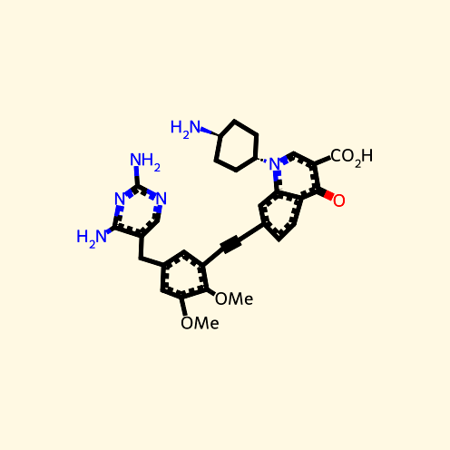 COc1cc(Cc2cnc(N)nc2N)cc(C#Cc2ccc3c(=O)c(C(=O)O)cn([C@H]4CC[C@H](N)CC4)c3c2)c1OC